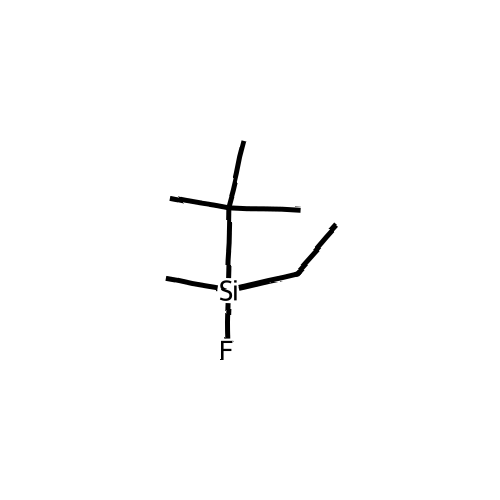 CC[Si](C)(F)C(C)(C)C